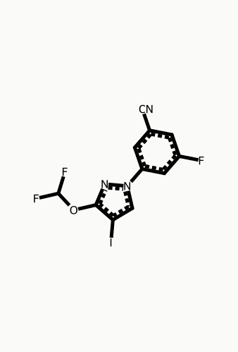 N#Cc1cc(F)cc(-n2cc(I)c(OC(F)F)n2)c1